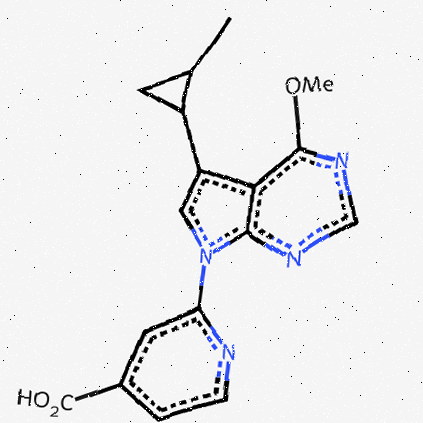 COc1ncnc2c1c(C1CC1C)cn2-c1cc(C(=O)O)ccn1